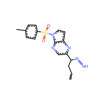 C=CCC(N=N)c1cnc2c(ccn2S(=O)(=O)c2ccc(C)cc2)n1